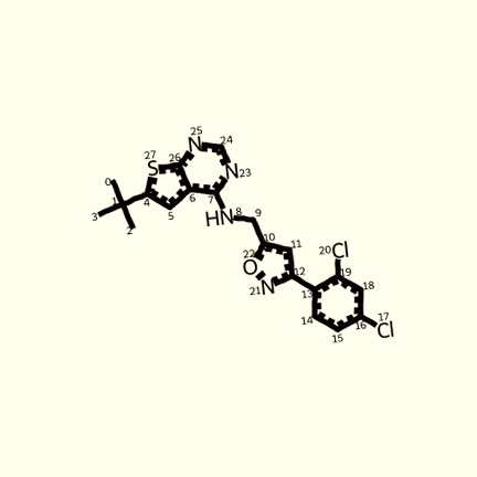 CC(C)(C)c1cc2c(NCc3cc(-c4ccc(Cl)cc4Cl)no3)ncnc2s1